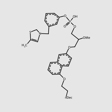 CCCCCCCCCCCCOc1cccc2cc(OCC(COP(=O)(O)Oc3cccc(CN4C=C(C)SC4)c3)OC)ccc12